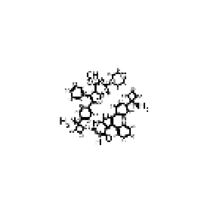 COc1nc(N2CCOCC2)nc2oc(-c3ccc(C4(N)CCC4)cc3)c(-c3ccccc3)c12.NC1(c2ccc(-c3oc4nc[nH]c(=O)c4c3-c3ccccc3)cc2)CCC1